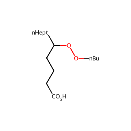 CCCCCCCC(CCCC(=O)O)OOCCCC